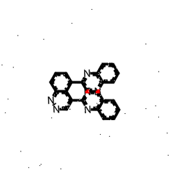 [c]1nnc2cccc(-c3cnc4ccccc4n3)c2c1-c1ncc2ccccc2n1